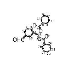 O=Cc1ccc(OC(=O)c2ccccc2)c(COC(=O)c2ccccc2)c1